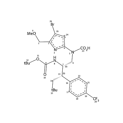 COCc1nc(N(C[C@@H](NC(=O)OC(C)(C)C)[C@@H](CC(C)(C)C)c2ccc(C(F)(F)F)cc2)C(=O)O)sc1Br